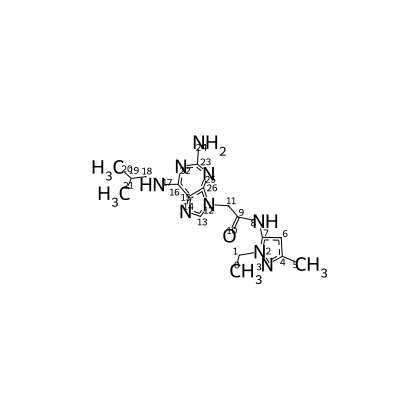 CCn1nc(C)cc1NC(=O)Cn1cnc2c(NCC(C)C)nc(N)nc21